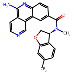 CN(C(=O)c1ccc2nc(N)c3ccncc3c2c1)[C@@H]1COc2cc(C(F)(F)F)ccc21